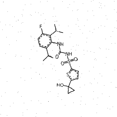 CC(C)c1ccc(F)c(C(C)C)c1NC(=O)NS(=O)(=O)c1ccc(C2(O)CC2)s1